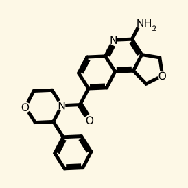 Nc1nc2ccc(C(=O)N3CCOCC3c3ccccc3)cc2c2c1COC2